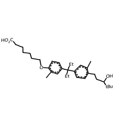 CCC(CC)(c1ccc(CCC(O)C(C)(C)C)c(C)c1)c1ccc(OCCCCCCC(=O)O)c(C)c1